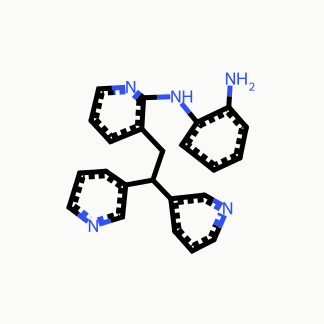 Nc1ccccc1Nc1ncccc1CC(c1cccnc1)c1cccnc1